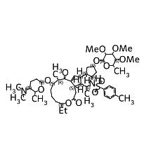 CC[C@H]1CCC[C@H](O[C@H]2CC[C@H](N(C)C)C(C)O2)[C@@H](C)C(=O)C2=C[C@H]3[C@@H]4C[C@H](O[C@@H]5OC(C)[C@H](OC)C(OC)C5OC)C[C@H]4N(S(=O)(=O)c4ccc(C)cc4)[C@@H](C)[C@H]3[C@@H]2CC(=O)O1